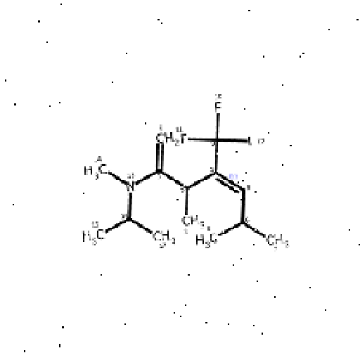 C=C(C(C)/C(=C\C(C)C)C(F)(F)I)N(C)C(C)C